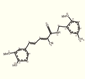 COc1cc(/C=C/C=C(\C#N)C(=O)NCc2cc(C)ccc2OC)ccc1O